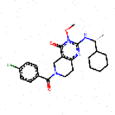 COn1c(N[C@H](C)C2CCCCC2)nc2c(c1=O)CN(C(=O)c1ccc(Cl)cc1)CC2